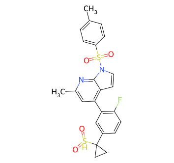 Cc1ccc(S(=O)(=O)n2ccc3c(-c4cc(C5([SH](=O)=O)CC5)ccc4F)cc(C)nc32)cc1